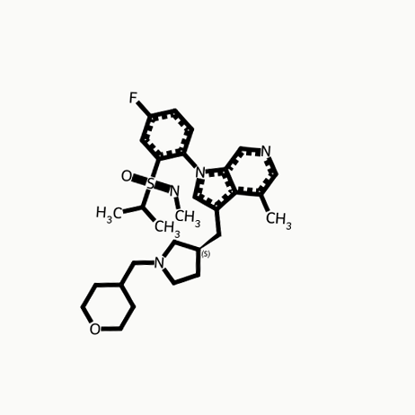 CN=S(=O)(c1cc(F)ccc1-n1cc(C[C@H]2CCN(CC3CCOCC3)C2)c2c(C)cncc21)C(C)C